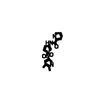 Cc1cc(S(=O)(=O)n2ccc(NC(=O)c3ccccn3)c2)cnc1C